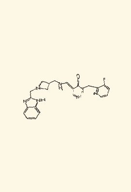 N=C/C(=C\NCC1CN(Cc2nc3ccccc3[nH]2)C1)C(=O)NCc1ncccc1F